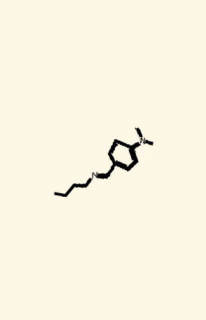 CCCCN=Cc1ccc(N(C)C)cc1